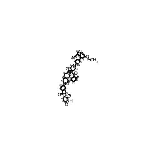 CCOc1cc(-c2ccc(N3CCC(NC(=O)c4cc(F)ccc4F)(C(=O)N4CCC5(CC4)CCN(c4ccc6c(c4)CN(C4CCC(=O)NC4=O)C6=O)CC5)CC3)nc2)c2c(C#N)cnn2c1